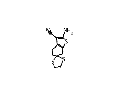 N#Cc1c(N)sc2c1CCC1(C2)SCCS1